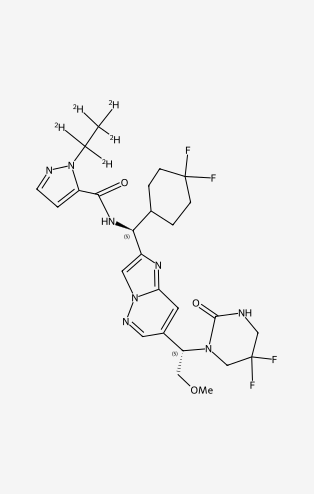 [2H]C([2H])([2H])C([2H])([2H])n1nccc1C(=O)N[C@H](c1cn2ncc([C@@H](COC)N3CC(F)(F)CNC3=O)cc2n1)C1CCC(F)(F)CC1